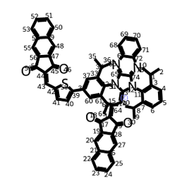 CC(C)c1cccc(C(C)C)c1N1/C(=C/C=C2C(=O)c3cc4ccccc4cc3C2=O)N(c2c(C(C)C)cc(-c3ccc(C=C4C(=O)c5cc6ccccc6cc5C4=O)s3)cc2C(C)C)c2nc3ccccc3nc21